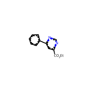 CCOC(=O)c1cc(-c2ccccc2)ncn1